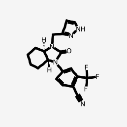 N#Cc1ccc(N2C(=O)N(Cc3cc[nH]n3)[C@@H]3CCCC[C@H]32)cc1C(F)(F)F